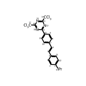 CC(C)c1ccc(C=Cc2ccc(-c3nc(C(Cl)(Cl)Cl)nc(C(Cl)(Cl)Cl)n3)cc2)cc1